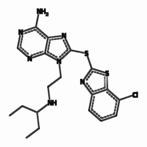 CCC(CC)NCCn1c(Sc2nc3cccc(Cl)c3s2)nc2c(N)ncnc21